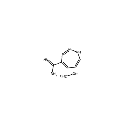 N=C(N)C1=CC=CNN=C1.O=CO